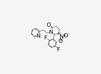 O=C1CC[C@H]([N+](=O)[O-])C(c2cc(F)ccc2F)N1CCc1ccccn1